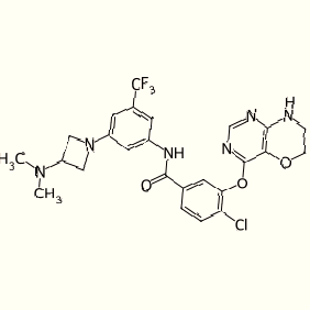 CN(C)C1CN(c2cc(NC(=O)c3ccc(Cl)c(Oc4ncnc5c4OCCN5)c3)cc(C(F)(F)F)c2)C1